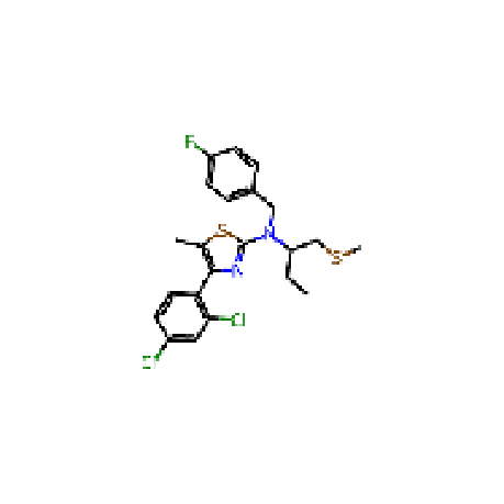 CCC(CSC)N(Cc1ccc(F)cc1)c1nc(-c2ccc(Cl)cc2Cl)c(C)s1